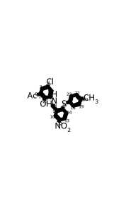 CC(=O)c1cc(Cl)cc(NCc2cc([N+](=O)[O-])ccc2Sc2ccc(C)cc2)c1O